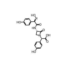 O=C(N[C@H]1CN([C@@H](C(=O)O)c2ccc(O)cc2)C1=O)/C(=N/O)c1ccc(O)cc1